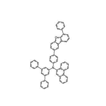 c1ccc(-c2cc(-c3ccccc3)cc(N(c3ccc(-c4ccc5oc6c(-c7ccccc7)cccc6c5c4)cc3)c3cc4ccccc4c4ccccc34)c2)cc1